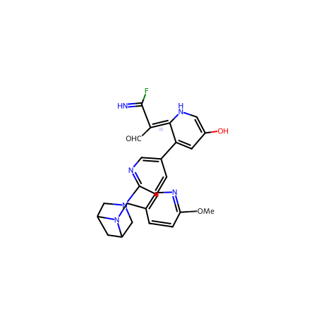 COc1ccc(CN2C3CC2CN(c2ccc(C4=CC(O)=CN/C4=C(/C=O)C(=N)F)cn2)C3)cn1